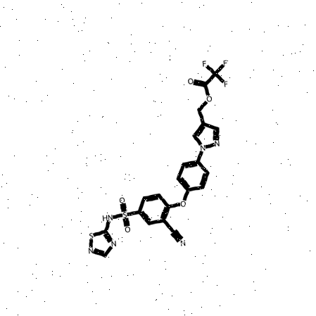 N#Cc1cc(S(=O)(=O)Nc2ncns2)ccc1Oc1ccc(-n2cc(COC(=O)C(F)(F)F)cn2)cc1